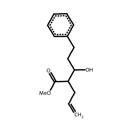 C=CCC(C(=O)OC)C(O)CCc1ccccc1